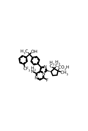 CC1(C)[C@H](c2nc(-c3ccc([C@@](C)(O)c4cccc(C(F)(F)F)c4)cc3)c3c(N)ncc(F)n23)CC[C@]1(C)C(=O)O